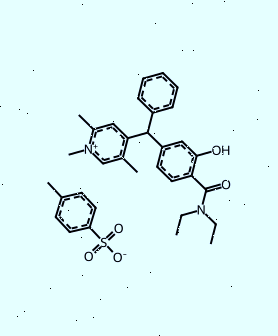 CCN(CC)C(=O)c1ccc(C(c2ccccc2)c2cc(C)[n+](C)cc2C)cc1O.Cc1ccc(S(=O)(=O)[O-])cc1